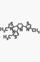 Cc1csc(-c2ccc(-c3nc(C)cs3)c(-c3csc(C)n3)n2)n1